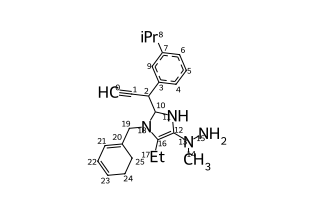 C#CC(c1cccc(C(C)C)c1)C1NC(N(C)N)=C(CC)N1CC1=CC=CCC1